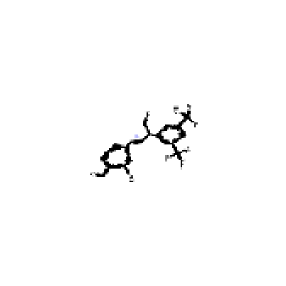 O=Cc1ccc(/C=C/C(CF)c2cc(C(F)(F)F)cc(C(F)(F)F)c2)cc1Br